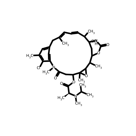 C/C1=C\C=C\C(C)C2(O)CC(OC(=O)N2)C(C)C2OC2(C)C(OC(=O)[C@H](C)N(C)C(C)C)CC(=O)N(C)c2cc(cc(C)c2Cl)C1